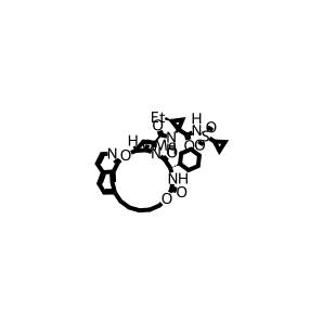 CC[C@H]1C[C@]1(NC(=O)[C@@H]1C[C@H]2Oc3nccc4ccc(cc34)CCCCCOC(=O)N[C@@H](C3CCCCC3)C(=O)N1C2OC)C(=O)NS(=O)(=O)C1CC1